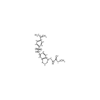 CCC(=O)NCC1CCCc2cc(NS(=O)(=O)c3ccc(C(C)C)cc3)ccc21